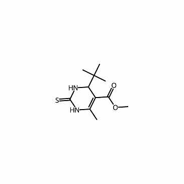 COC(=O)C1=C(C)NC(=S)NC1C(C)(C)C